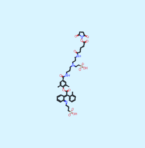 Cc1ccccc1/C(C(=O)Oc1c(C)cc(C(=O)NCCCN(CCCNC(=O)CCCC(=O)ON2C(=O)CCC2=O)CCS(=O)(=O)O)cc1C)=C1/C=CC=C/C1=N\CCCS(=O)(=O)O